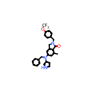 Cc1cc(N(Cc2ccccc2)c2cc[nH]c2)cc2c1C(=O)N(Cc1ccc(OC(F)(F)F)cc1)C2